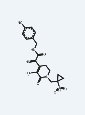 N#Cc1ccc(CNC(=O)C(=N)C2=C(N)C(=O)N(CC3([SH](=O)=O)CC3)CC2)cc1